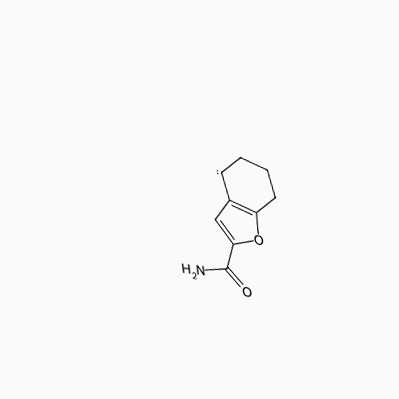 NC(=O)c1cc2c(o1)CCC[C]2